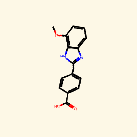 COc1cccc2nc(-c3ccc(C(=O)O)cc3)[nH]c12